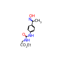 CCOC(=O)CNC(=O)Nc1ccc(C(C)=NO)cc1